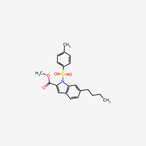 CCCCc1ccc2cc(C(=O)OC)n(S(=O)(=O)c3ccc(C)cc3)c2c1